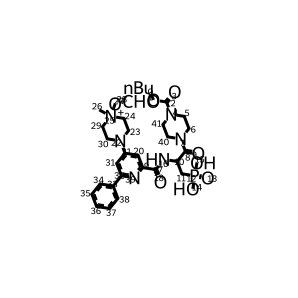 CCCCOC(=O)N1CCN(C(=O)C(CP(=O)(O)O)NC(=O)c2cc(N3CC[N+](C)(OC=O)CC3)cc(-c3ccccc3)n2)CC1